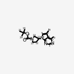 Cc1ncnc2c1c(I)cn2C1CCN(C(=O)OC(C)(C)C)C1